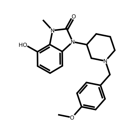 COc1ccc(CN2CCCC(n3c(=O)n(C)c4c(O)cccc43)C2)cc1